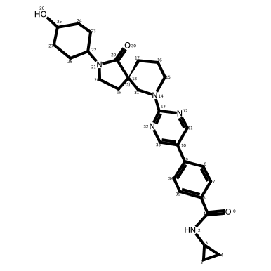 O=C(NC1CC1)c1ccc(-c2cnc(N3CCC[C@]4(CCN(C5CCC(O)CC5)C4=O)C3)nc2)cc1